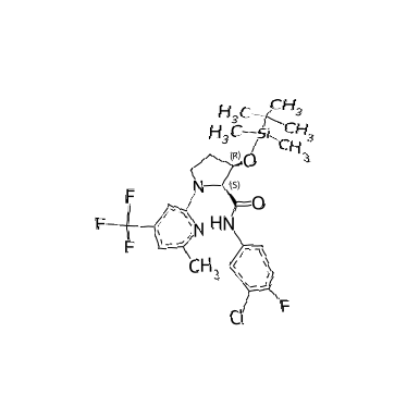 Cc1cc(C(F)(F)F)cc(N2CC[C@@H](O[Si](C)(C)C(C)(C)C)[C@H]2C(=O)Nc2ccc(F)c(Cl)c2)n1